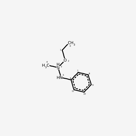 CCO[SiH](C)Nc1ccccc1